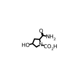 NC(=O)C1CC(O)CN1[13C](=O)O